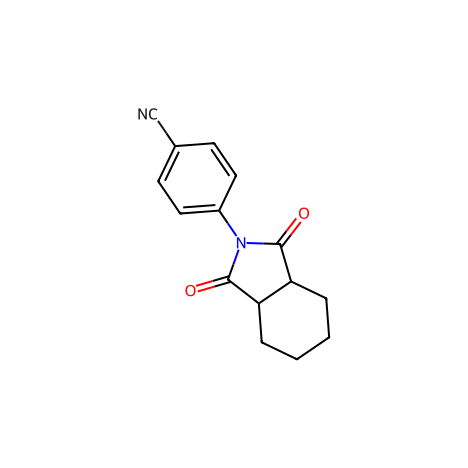 N#Cc1ccc(N2C(=O)C3CCCCC3C2=O)cc1